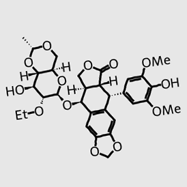 CCO[C@H]1[C@H](O[C@@H]2c3cc4c(cc3[C@@H](c3cc(OC)c(O)c(OC)c3)[C@H]3C(=O)OC[C@@H]32)OCO4)O[C@@H]2CO[C@@H](C)O[C@H]2[C@@H]1O